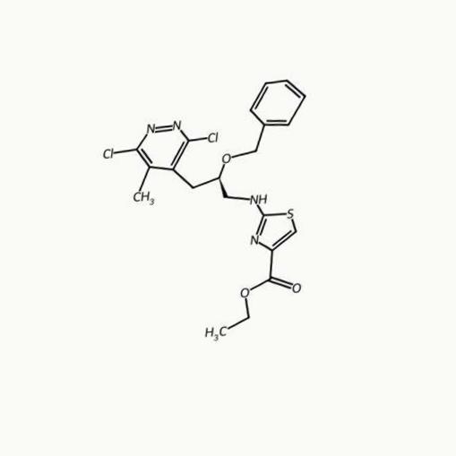 CCOC(=O)c1csc(NC[C@@H](Cc2c(Cl)nnc(Cl)c2C)OCc2ccccc2)n1